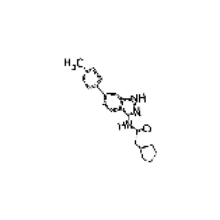 Cc1ccc(-c2ccc3c(NC(=O)CC4CCCC4)n[nH]c3c2)cc1